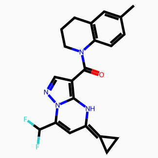 Cc1ccc2c(c1)CCCN2C(=O)c1cnn2c1NC(=C1CC1)C=C2C(F)F